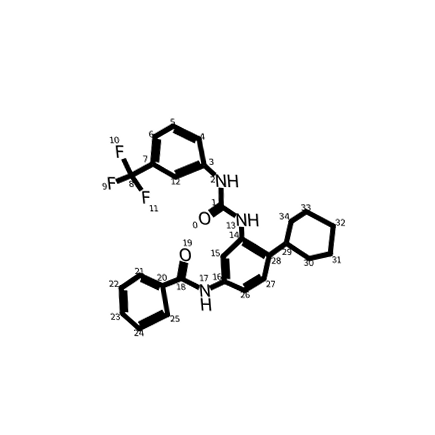 O=C(Nc1cccc(C(F)(F)F)c1)Nc1cc(NC(=O)c2ccccc2)ccc1C1CCCCC1